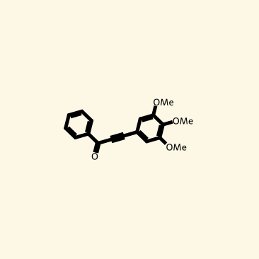 COc1cc(C#CC(=O)c2ccccc2)cc(OC)c1OC